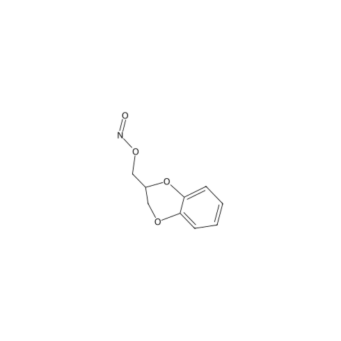 O=NOCC1COc2ccccc2O1